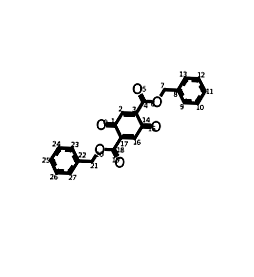 O=C1C=C(C(=O)OCc2ccccc2)C(=O)C=C1C(=O)OCc1ccccc1